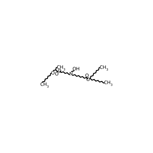 CCCCCCCCOCC(CC)C(=O)OCCCCCN(CCO)CCCCCCCC(=O)OC(CCCCCCCC)CCCCCCCC